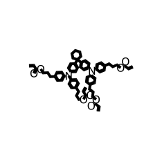 C=CC(=O)OCCCc1ccc(N(c2ccc(CCCOC(=O)C=C)cc2)c2ccc(C3(c4ccc(N(c5ccc(CCCOC(=O)C=C)cc5)c5ccc(CCCOC(=O)C=C)cc5)cc4)CCCCC3)cc2)cc1